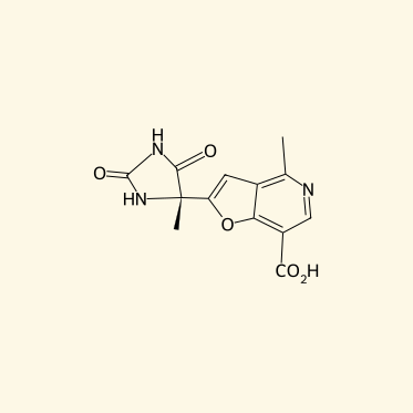 Cc1ncc(C(=O)O)c2oc([C@]3(C)NC(=O)NC3=O)cc12